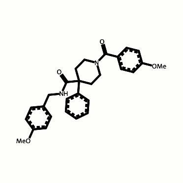 COc1ccc(CNC(=O)C2(c3ccccc3)CCN(C(=O)c3ccc(OC)cc3)CC2)cc1